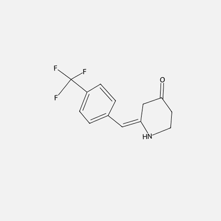 O=C1CCNC(=Cc2ccc(C(F)(F)F)cc2)C1